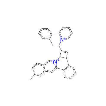 Cc1ccc2c[n+]3c(cc2c1)-c1ccccc1C1C=C(C[n+]2ccccc2-c2ccccc2C)C13